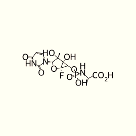 CC(NP(=O)(O)OC1[C@]2(O)[C@@](C)(O)[C@H](n3ccc(=O)[nH]c3=O)O[C@]12F)C(=O)O